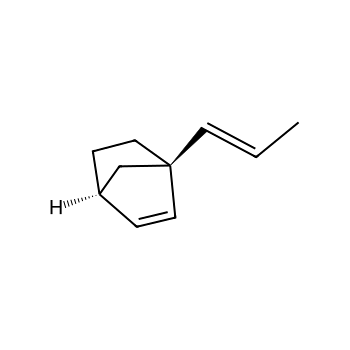 CC=C[C@]12C=C[C@@H](CC1)C2